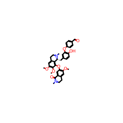 COc1cc2c(cc1Oc1c(OC)c(OC)cc3c1[C@@H](Cc1ccc(O)c(Oc4ccc(C=O)cc4)c1)N(C)CC3)C(=O)N(C)CC2